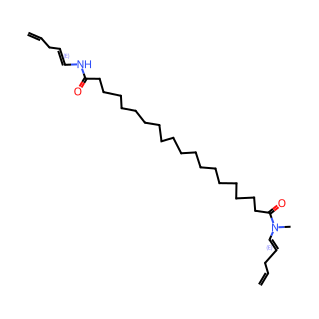 C=CC/C=C/NC(=O)CCCCCCCCCCCCCCCCCCC(=O)N(C)/C=C/CC=C